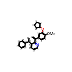 C=C(c1ccc(OC)c(OC2CCCC2)c1)c1ncccc1C(C)c1ccccc1